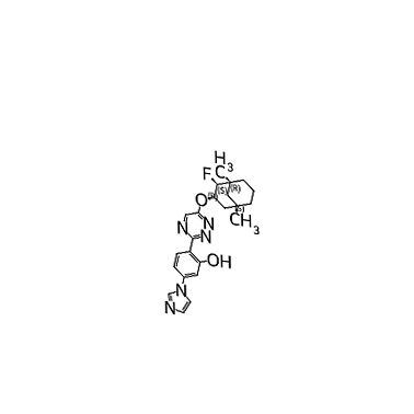 C[C@]12CCC[C@](C)(C1)[C@H](F)[C@H](Oc1cnc(-c3ccc(-n4ccnc4)cc3O)nn1)C2